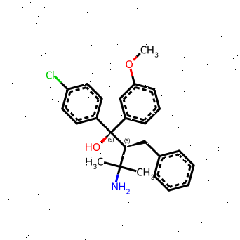 COc1cccc([C@@](O)(c2ccc(Cl)cc2)[C@@H](Cc2ccccc2)C(C)(C)N)c1